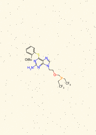 CC(C)COc1ccccc1Sc1nc(N)nc2c1ncn2CCOCP(CC(F)(F)F)CC(F)(F)F